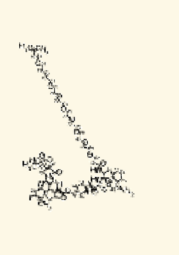 CC[C@@]1(O)C(=O)OCc2c1cc1n(c2=O)Cc2c-1nc1cc(F)c(C)c3c1c2[C@@H](NC(=O)OCc1ccc(NC(=O)[C@H](CCCCN)NC(=O)[C@H](Cc2ccccc2)NC(=O)CCOCCOCCOCCOCCOCCOCCOCCOCCOCCC(C)C)cc1)CC3